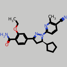 CCOc1cc(C2=NN(c3ccc(C#N)c(C)n3)[C@@H](C3CCCC3)C2)ccc1C(N)=O